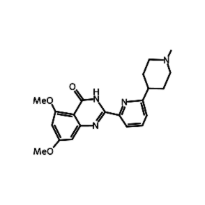 COc1cc(OC)c2c(=O)[nH]c(-c3cccc(C4CCN(C)CC4)n3)nc2c1